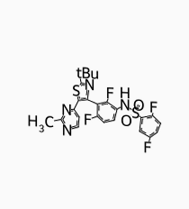 Cc1nccc(-c2sc(C(C)(C)C)nc2-c2c(F)ccc(NS(=O)(=O)c3cc(F)ccc3F)c2F)n1